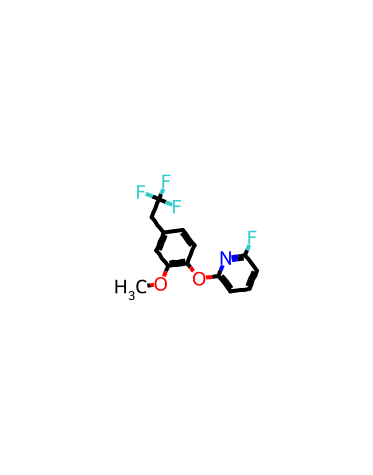 COc1cc(CC(F)(F)F)ccc1Oc1cccc(F)n1